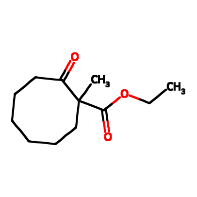 CCOC(=O)C1(C)CCCCCCC1=O